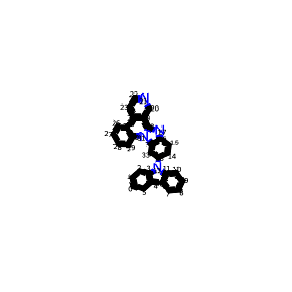 c1ccc2c(c1)c1ccccc1n2-c1ccc2nc3c4cnccc4c4ccccc4n3c2c1